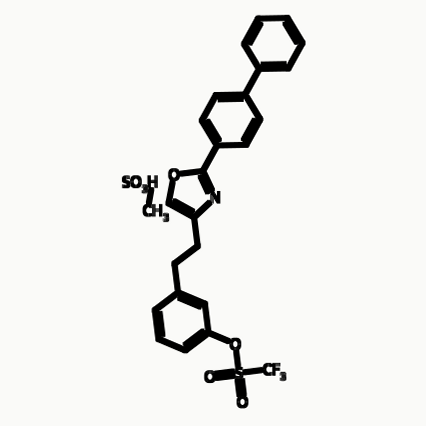 CS(=O)(=O)O.O=S(=O)(Oc1cccc(CCc2coc(-c3ccc(-c4ccccc4)cc3)n2)c1)C(F)(F)F